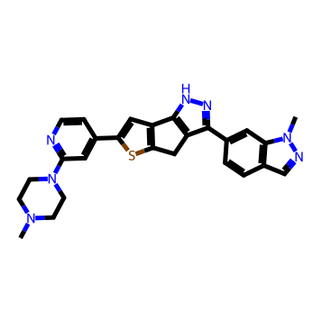 CN1CCN(c2cc(-c3cc4c(s3)Cc3c(-c5ccc6cnn(C)c6c5)n[nH]c3-4)ccn2)CC1